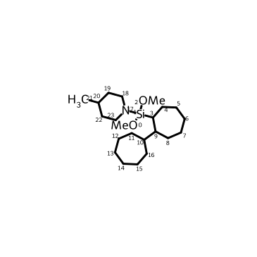 CO[Si](OC)(C1CCCCCC1C1CCCCCC1)N1CCC(C)CC1